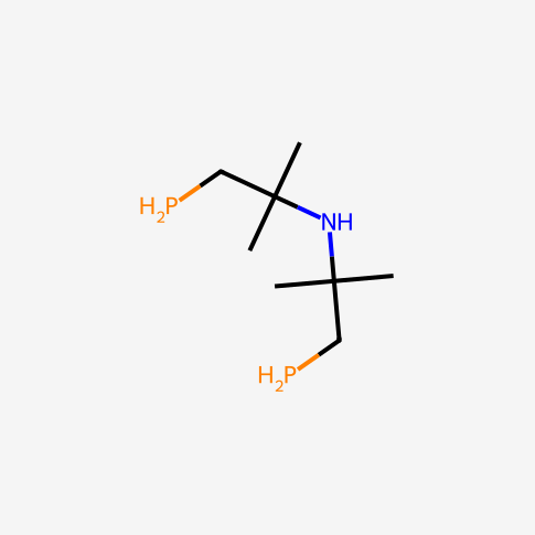 CC(C)(CP)NC(C)(C)CP